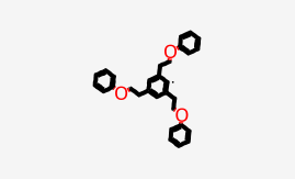 [c]1c(CCOc2ccccc2)cc(CCOc2ccccc2)cc1CCOc1ccccc1